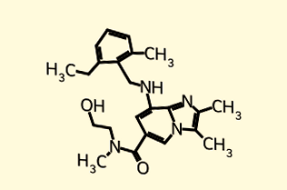 CCc1cccc(C)c1CNc1cc(C(=O)N(C)CCO)cn2c(C)c(C)nc12